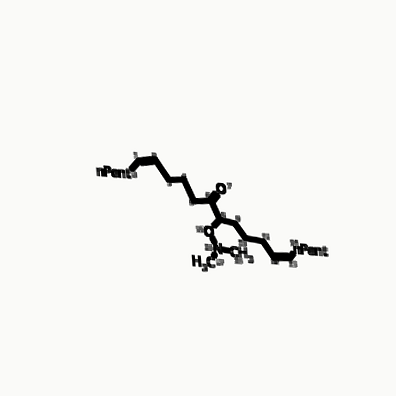 CCCCC/C=C\CCCC(=O)C(CCC/C=C\CCCCC)ON(C)C